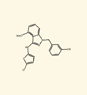 COc1cccc2c1c(Nc1ccc(Cl)s1)nn2Cc1cccc(C#N)c1